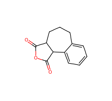 O=C1OC(=O)C2c3ccccc3CCCC12